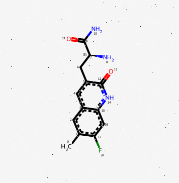 Cc1cc2cc(C[C@H](N)C(N)=O)c(=O)[nH]c2cc1F